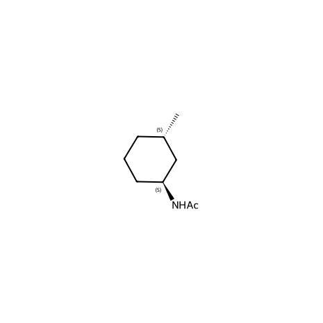 CC(=O)N[C@H]1CCC[C@H](C)C1